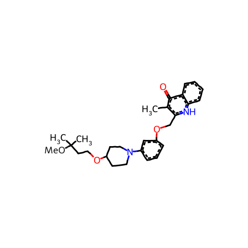 COC(C)(C)CCOC1CCN(c2cccc(OCc3[nH]c4ccccc4c(=O)c3C)c2)CC1